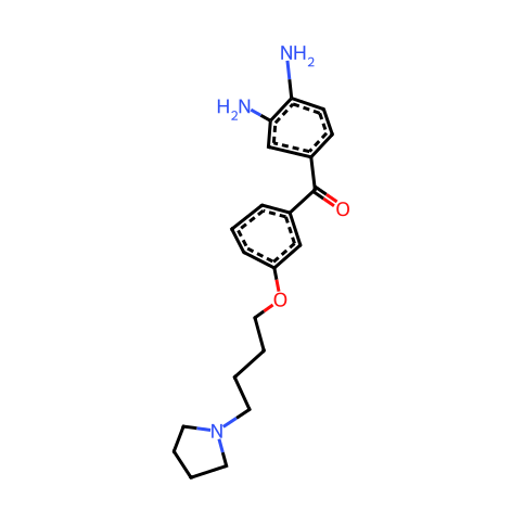 Nc1ccc(C(=O)c2cccc(OCCCCN3CCCC3)c2)cc1N